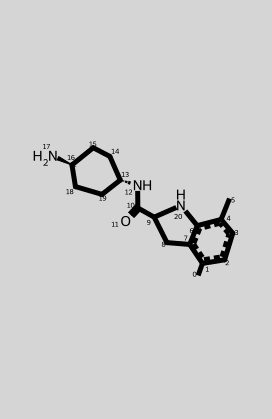 Cc1ccc(C)c2c1CC(C(=O)N[C@H]1CC[C@H](N)CC1)N2